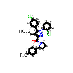 O=C(O)Cc1c(C(=O)N2CCCC2c2ccc(C(F)(F)F)cc2)nn(-c2ccccc2Cl)c1-c1ccc(Cl)cc1